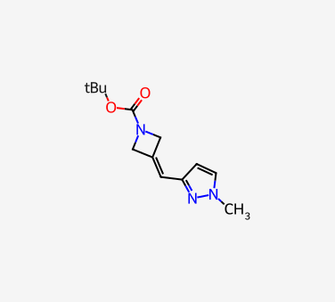 Cn1ccc(C=C2CN(C(=O)OC(C)(C)C)C2)n1